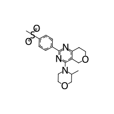 CC1COCCN1c1nc(-c2ccc(S(C)(=O)=O)cc2)nc2c1COCC2